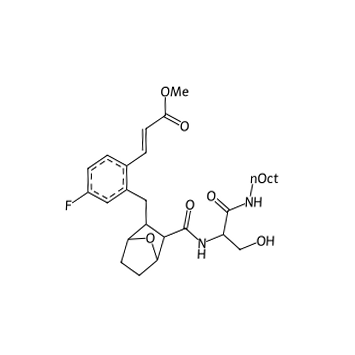 CCCCCCCCNC(=O)C(CO)NC(=O)C1C2CCC(O2)C1Cc1cc(F)ccc1/C=C/C(=O)OC